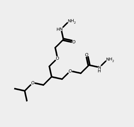 CC(C)OCC(COCC(=O)NN)COCC(=O)NN